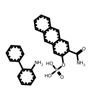 NC(=O)c1cc2cc3ccccc3cc2cc1OP(=O)(O)O.Nc1ccccc1-c1ccccc1